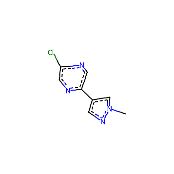 Cn1cc(-c2cnc(Cl)cn2)cn1